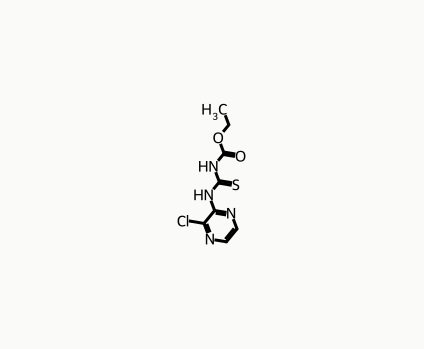 CCOC(=O)NC(=S)Nc1nccnc1Cl